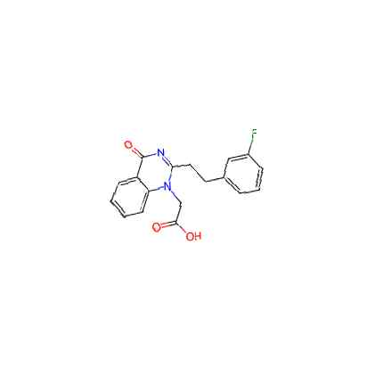 O=C(O)Cn1c(CCc2cccc(F)c2)nc(=O)c2ccccc21